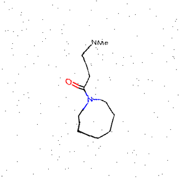 CNCCC(=O)N1CCCCCC1